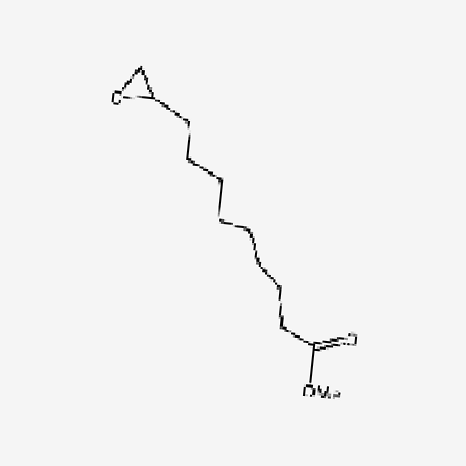 COC(=O)CCCCCCCCC1CO1